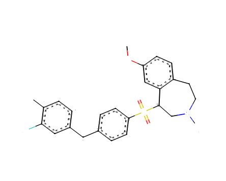 COc1ccc2c(c1)C(S(=O)(=O)c1ccc(Cc3ccc(C)c(F)c3)cc1)CN(C)CC2